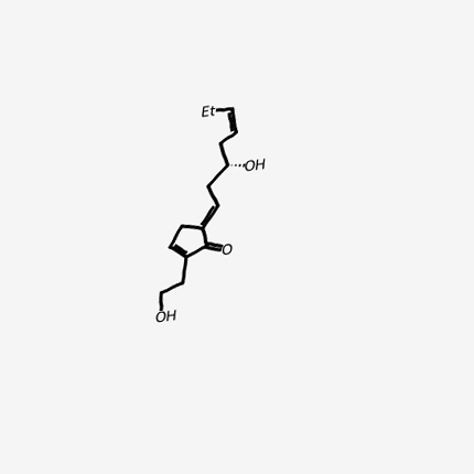 CC/C=C\C[C@H](O)C/C=C1\CC=C(CCO)C1=O